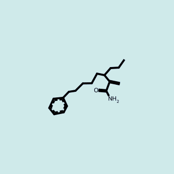 C=C(C(N)=O)C(CCC)CCCCCc1ccccc1